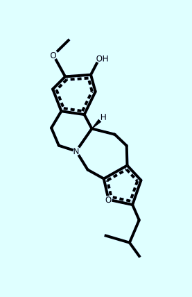 COc1cc2c(cc1O)[C@@H]1CCc3cc(CC(C)C)oc3CN1CC2